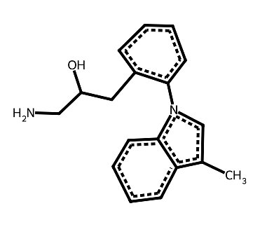 Cc1cn(-c2ccccc2CC(O)CN)c2ccccc12